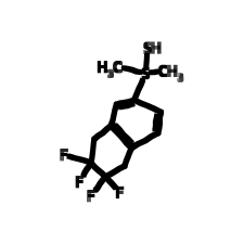 CS(C)(S)c1ccc2c(c1)CC(F)(F)C(F)(F)C2